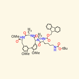 COC(=O)[C@@H]1Cc2ccc(OC)c(c2)-c2cc(ccc2OC)[C@H](N(C)C(=O)[C@H](CCCCNC(=O)OC(C)(C)C)NC(=O)OCC2c3ccccc3-c3ccccc32)C(=O)N[C@@H](C)C(=O)N1